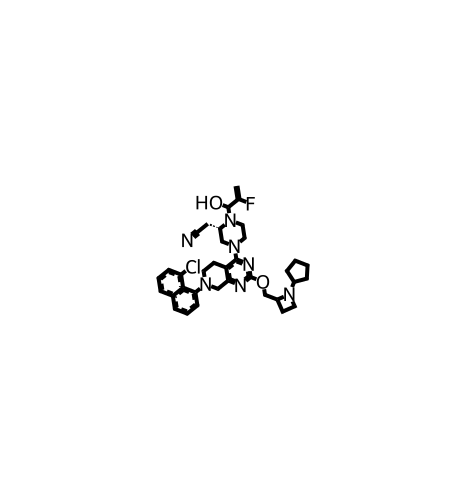 C=C(F)C(O)N1CCN(c2nc(OCC3CCN3C3CCCC3)nc3c2CCN(c2cccc4cccc(Cl)c24)C3)C[C@@H]1CC#N